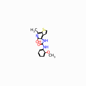 COc1ccccc1NC(=O)Nc1c(O)nc(C)c2sccc12